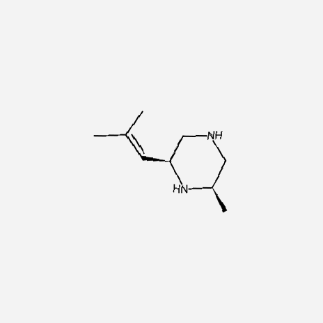 CC(C)=C[C@H]1CNC[C@@H](C)N1